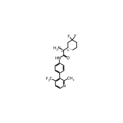 Cc1nccc(C(F)(F)F)c1-c1ccc(NC(=O)[C@@H](N)[C@H]2CCCC(F)(F)C2)cc1